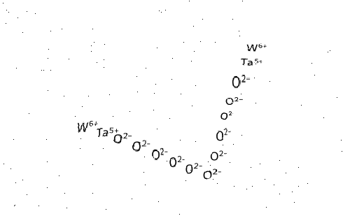 [O-2].[O-2].[O-2].[O-2].[O-2].[O-2].[O-2].[O-2].[O-2].[O-2].[O-2].[Ta+5].[Ta+5].[W+6].[W+6]